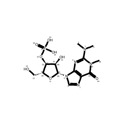 CN(C)c1nc2c(ncn2[C@@H]2O[C@H](CO)[C@@H](OP(=O)(O)O)[C@H]2O)c(=O)n1C